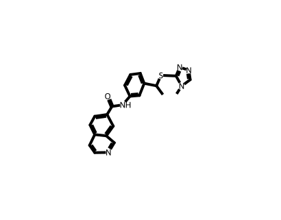 CC(Sc1nncn1C)c1cccc(NC(=O)c2ccc3ccncc3c2)c1